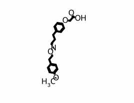 COc1ccc(CCON=CCCc2ccc(OCC(=O)O)cc2)cc1